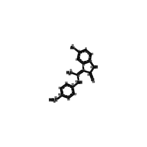 CC(=O)c1ccc2c(c1)/C(=C(\C)Nc1ccc(C(=O)O)cc1)C(=O)N2